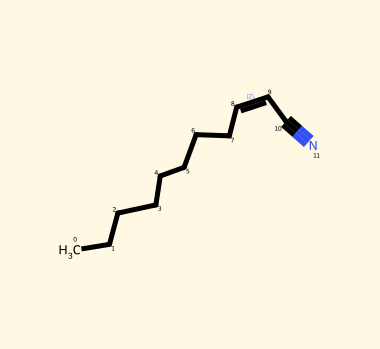 CCCCCCCC/C=C\C#N